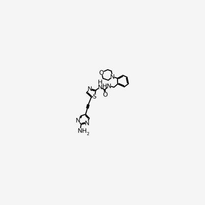 Nc1ncc(C#Cc2cnc(NC(=O)NCc3ccccc3N3CCOCC3)s2)cn1